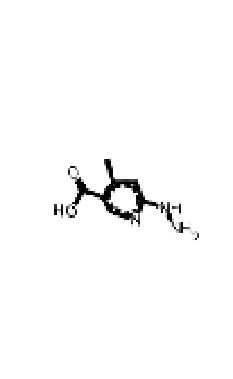 Cc1cc(NN)ncc1C(=O)O